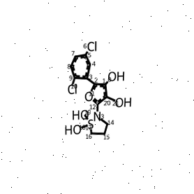 Oc1c(-c2cc(Cl)ccc2Cl)oc(N2CCCS2(O)O)c1O